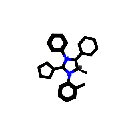 Cc1ccccc1N1C(C2CCCC2)N(c2ccccc2)C(C2CCCCC2)[C@@H]1C